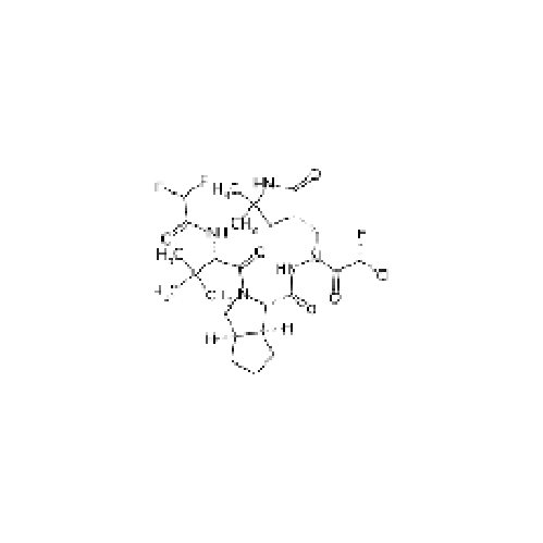 CC1(C)C[C@@H](CN(NC(=O)[C@@H]2[C@H]3CCC[C@H]3CN2C(=O)[C@@H](NC(=O)C(F)F)C(C)(C)C)C(=O)[C@H](F)Cl)C(=O)N1